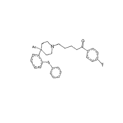 CC(=O)C1(c2ccccc2Sc2ccccc2)CCN(CCCCC(=O)c2ccc(F)cc2)CC1